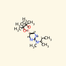 CCC(C)N(C)c1ncc(B2OC(C)(C)C(C)(C)O2)cn1